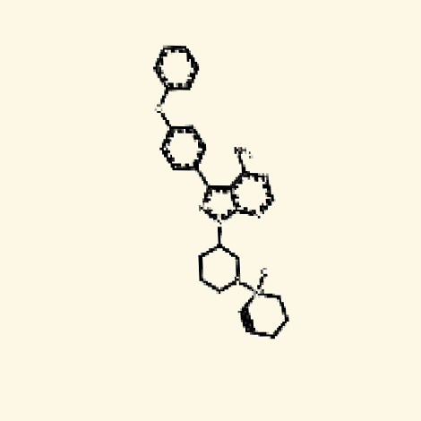 Nc1ncnc2c1c(-c1ccc(Oc3ccccc3)cc1)nn2[C@@H]1CCCN([N+]2([O-])C#CCCC2)C1